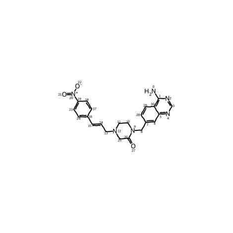 Nc1ncnc2cc(CN3CCN(C/C=C/c4ccc([N+](=O)[O-])cc4)CC3=O)ccc12